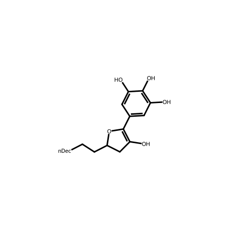 CCCCCCCCCCCCC1CC(O)=C(c2cc(O)c(O)c(O)c2)O1